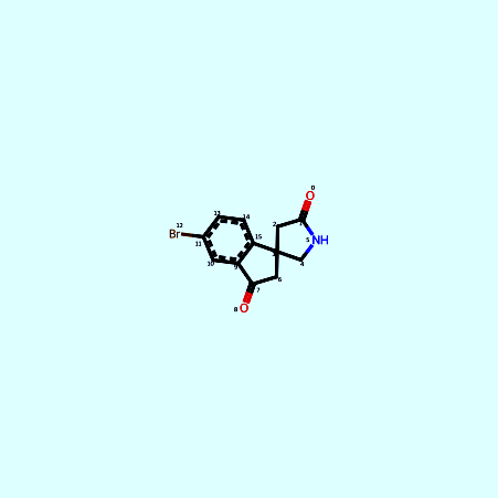 O=C1CC2(CN1)CC(=O)c1cc(Br)ccc12